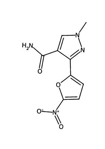 Cn1cc(C(N)=O)c(-c2ccc([N+](=O)[O-])o2)n1